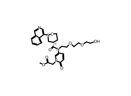 COC(=O)Cn1cc(N(CCOCCOCCO)C(=O)[C@H]2CCCN(c3cncc4ccccc34)C2)ccc1=O